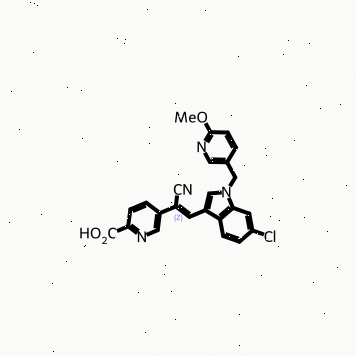 COc1ccc(Cn2cc(/C=C(\C#N)c3ccc(C(=O)O)nc3)c3ccc(Cl)cc32)cn1